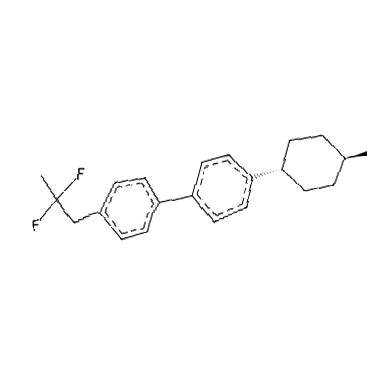 CC[C@H]1CC[C@H](c2ccc(-c3ccc(CC(C)(F)F)cc3)cc2)CC1